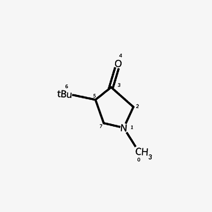 CN1CC(=O)C(C(C)(C)C)C1